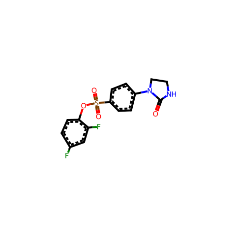 O=C1NCCN1c1ccc(S(=O)(=O)Oc2ccc(F)cc2F)cc1